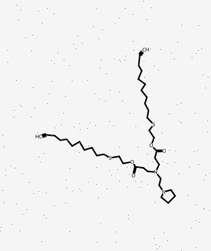 C#CCCCCCCCCCSCCOC(=O)CCN(CCC(=O)OCCSCCCCCCCCCC#C)CCN1CCCC1